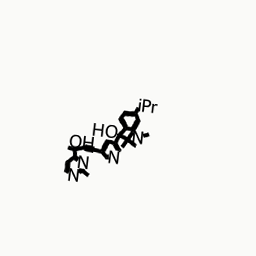 Cc1nccc(C(C)(O)C#Cc2cncc([C@@](O)(c3ccc(C(C)C)cc3)C3(C)CN(C)C3)c2)n1